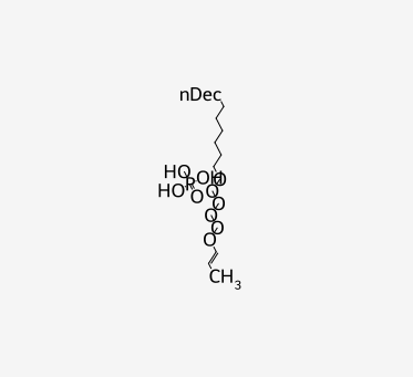 CC=COOOOOOCCCCCCCCCCCCCCCC.O=P(O)(O)O